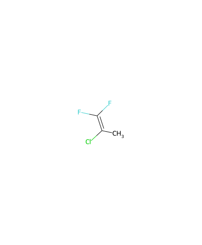 CC(Cl)=C(F)F